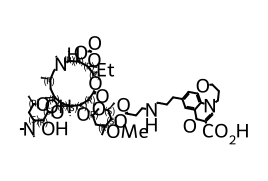 CC[C@H]1OC(=O)[C@H](C)[C@@H](O[C@H]2C[C@@](C)(OC)[C@@H](OC(=O)CCNCCCc3cc4c5c(c3)c(=O)c(C(=O)O)cn5CCCO4)[C@H](C)O2)[C@H](C)[C@@H](O[C@@H]2O[C@H](C)C[C@H](N(C)C)[C@H]2O)[C@](C)(O)C[C@@H](C)CN(C)[C@H](C)[C@H]2OC(=O)O[C@@]21C